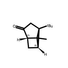 CC(C)(C)C12CC(=O)[C@H]3C[C@@H]1C32C